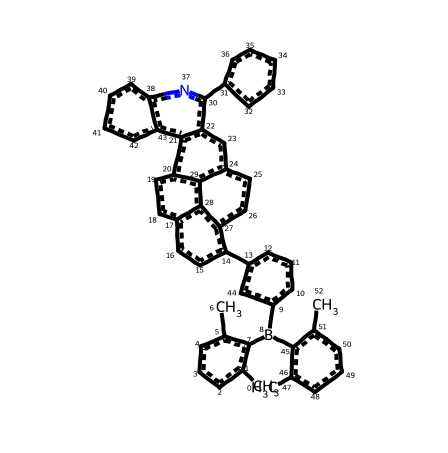 Cc1cccc(C)c1B(c1cccc(-c2ccc3ccc4c5c(cc6ccc2c3c64)c(-c2ccccc2)nc2ccccc25)c1)c1c(C)cccc1C